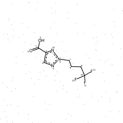 O=C(O)c1cnn(CCCC(F)(F)F)n1